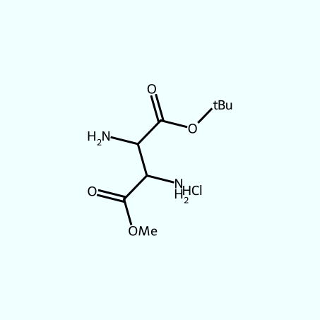 COC(=O)C(N)C(N)C(=O)OC(C)(C)C.Cl